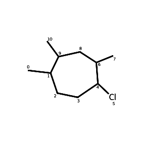 CC1CCC(Cl)C(C)CC1C